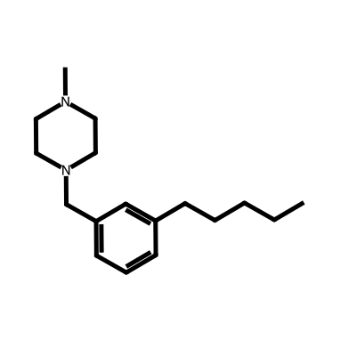 CCCCCc1cccc(CN2CCN(C)CC2)c1